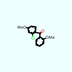 COc1ccc(C(=O)c2ccccc2OC)c(Cl)c1